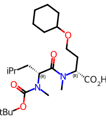 CC(C)C[C@H](C(=O)N(C)[C@H](CCOC1CCCCC1)C(=O)O)N(C)C(=O)OC(C)(C)C